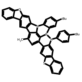 Cc1cc2c3c4c1c1cc5c(cc1n4-c1ccc(C(C)(C)C)cc1B3N(c1ccc(C(C)(C)C)cc1)c1cc3c(cc1-2)sc1ccccc13)oc1ccccc15